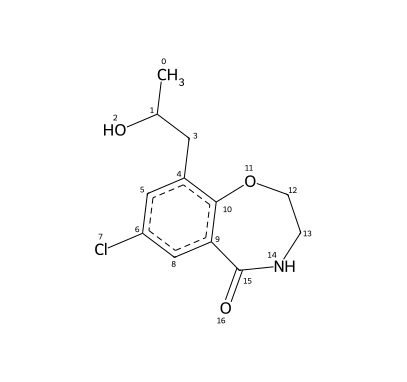 CC(O)Cc1cc(Cl)cc2c1OCCNC2=O